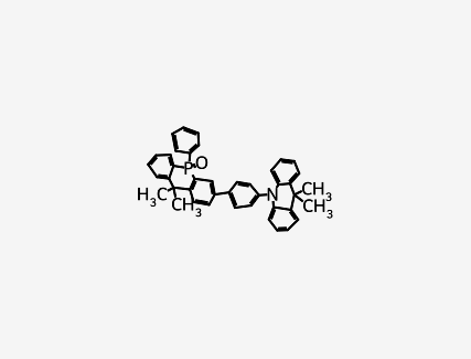 CC1(C)c2ccccc2N(c2ccc(-c3ccc4c(c3)P(=O)(c3ccccc3)c3ccccc3C4(C)C)cc2)c2ccccc21